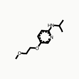 COCCOc1ccc(NC(C)C)nc1